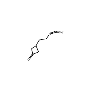 [N-]=[N+]=NCCC1CC(=O)C1